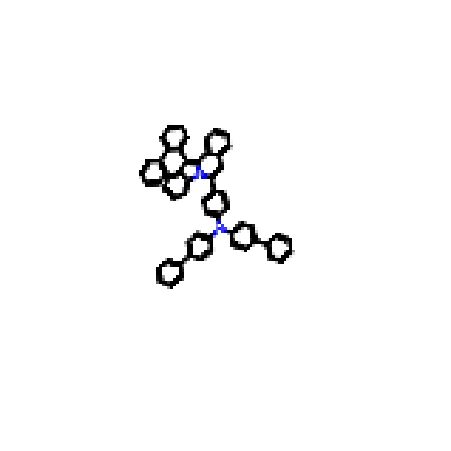 c1ccc(-c2ccc(N(c3ccc(-c4ccccc4)cc3)c3ccc(-c4cc5ccccc5c5c(-c6ccccc6-c6ccccc6)c6ccccc6n45)cc3)cc2)cc1